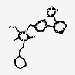 CCCCCc1c(C)n(CCC2CCCCC2)c(=O)n1Cc1ccc(-c2ccccc2-c2nnn[nH]2)nc1